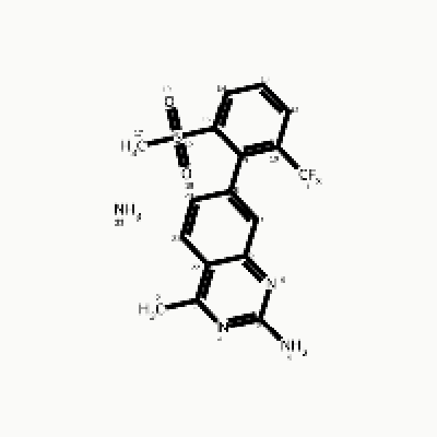 Cc1nc(N)nc2cc(-c3c(C(F)(F)F)cccc3S(C)(=O)=O)ccc12.N